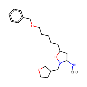 O=CNC1CC(CCCCCOCc2ccccc2)ON1CC1CCOC1